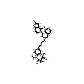 CCN1C(=O)C(C)(C)C(=O)N(C)c2cc(OCCCN(CCn3ccc4sc(C)cc4c3=O)Cc3ccncc3)ccc21